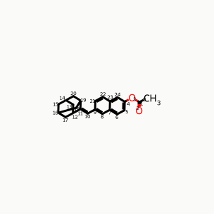 CC(=O)Oc1ccc2cc(C=C3C4CC5CC(C4)CC3C5)ccc2c1